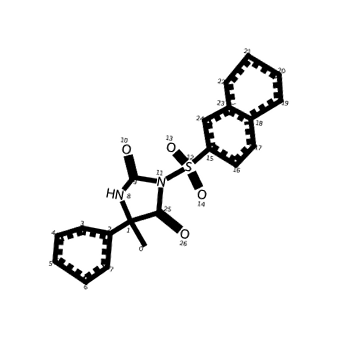 CC1(c2ccccc2)NC(=O)N(S(=O)(=O)c2ccc3ccccc3c2)C1=O